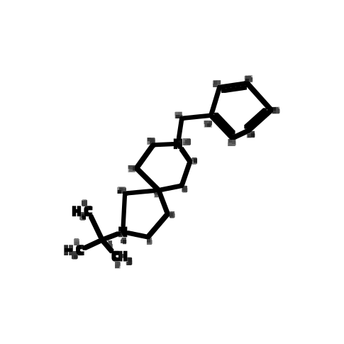 CC(C)(C)N1CCC2(CCN(Cc3ccccc3)CC2)C1